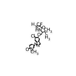 CC(C)C(COc1cc2cnn(-c3ccc(=O)n(C)c3)c2cc1Cl)NC(=O)C(C)(F)F